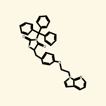 O=C1SC(Cc2ccc(OCCn3ccc4cccnc43)cc2)C(=O)N1C(c1ccccc1)(c1ccccc1)c1ccccc1